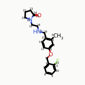 Cc1cc(OCc2ccccc2F)ccc1CNCCN1CCCC1=O